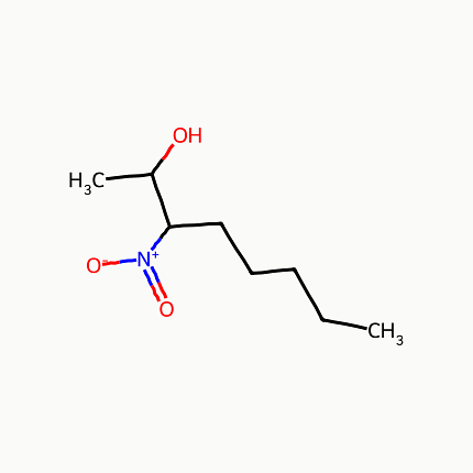 CCCCCC(C(C)O)[N+](=O)[O-]